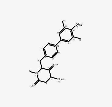 CCCCCCN1CC(=O)N(C)C(Cc2ccc(-c3cc(C)c(OC)c(C)c3)cc2)C1=O